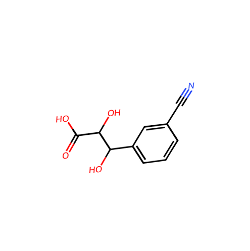 N#Cc1cccc(C(O)C(O)C(=O)O)c1